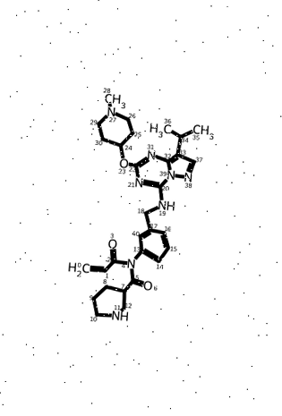 C=CC(=O)N(C(=O)C1CCCNC1)c1cccc(CNc2nc(OC3CCN(C)CC3)nc3c(C(C)C)cnn23)c1